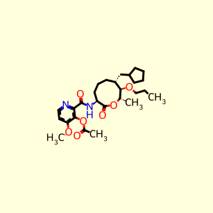 CCCO[C@@H]1[C@@H](CC2CCCC2)CCC[C@H](NC(=O)c2nccc(OC)c2OC(C)=O)C(=O)O[C@H]1C